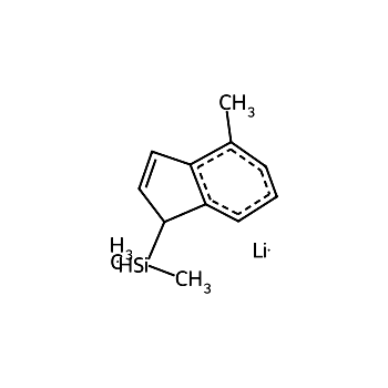 Cc1cccc2c1C=CC2[SiH](C)C.[Li]